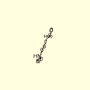 O=C(CBr)NCCCOCCOCCOCCCNC(=O)OCc1ccccc1